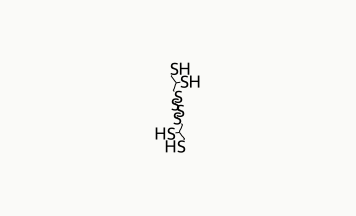 SCC(S)CSSSSCC(S)CS